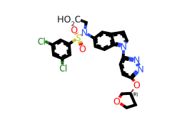 O=C(O)CN(c1ccc2c(ccn2-c2ccc(O[C@@H]3CCOC3)nn2)c1)S(=O)(=O)c1cc(Cl)cc(Cl)c1